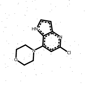 Clc1cc(N2CCOCC2)c2[nH]ccc2n1